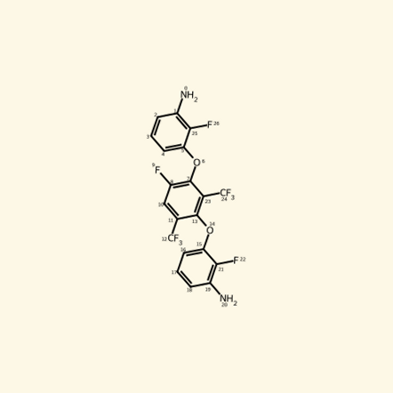 Nc1cccc(Oc2c(F)cc(C(F)(F)F)c(Oc3cccc(N)c3F)c2C(F)(F)F)c1F